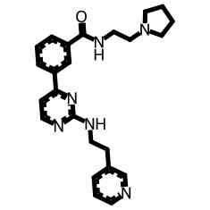 O=C(NCCN1CCCC1)c1cccc(-c2ccnc(NCCc3cccnc3)n2)c1